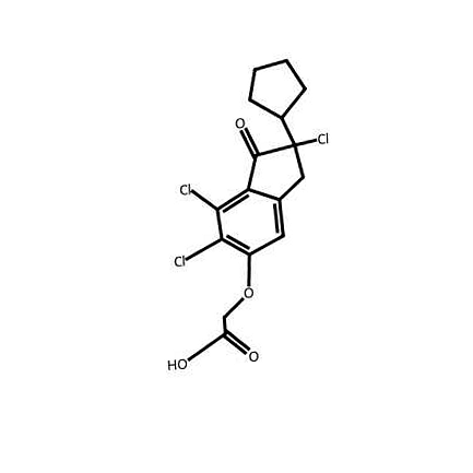 O=C(O)COc1cc2c(c(Cl)c1Cl)C(=O)C(Cl)(C1CCCC1)C2